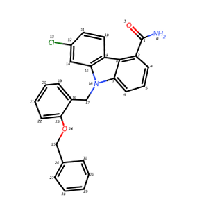 NC(=O)c1cccc2c1c1[c]cc(Cl)cc1n2Cc1ccccc1OCc1ccccc1